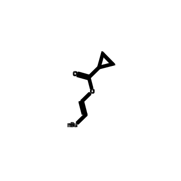 CCCCC=COC(=O)C1CC1